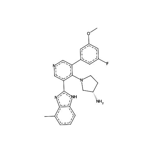 COc1cc(F)cc(-c2cncc(-c3nc4c(C)cccc4[nH]3)c2N2CC[C@H](N)C2)c1